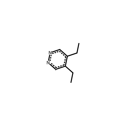 CCc1[c]nncc1CC